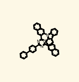 c1ccc(-c2ccc(-c3nc(-c4ccc5ccccc5c4)nc(-c4cc5ccccc5cc4-n4c5ccccc5c5ccccc54)n3)cc2)cc1